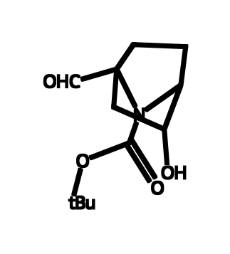 CC(C)(C)OC(=O)N1C2CCC1(C=O)CC2O